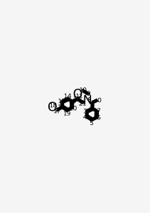 CC(c1ccccc1)N1CCOC(c2ccc(C=O)cc2)C1